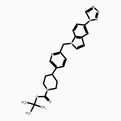 CC(C)(C)OC(=O)N1CCC(c2ccc(Cn3ccc4cc(-n5cnnn5)ccc43)nc2)CC1